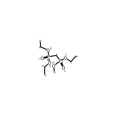 CCOP(=O)(CP(=O)(OCC)OCC)OC